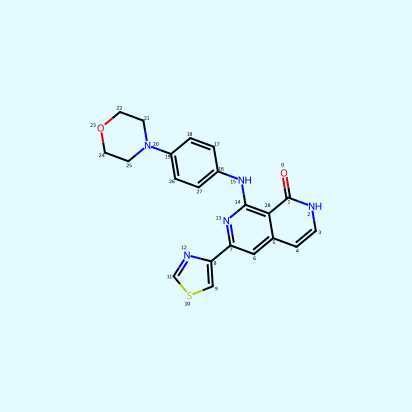 O=c1[nH]ccc2cc(-c3cscn3)nc(Nc3ccc(N4CCOCC4)cc3)c12